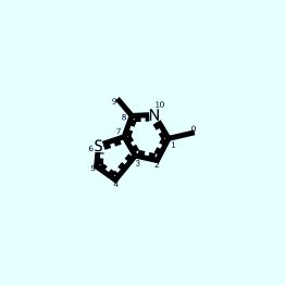 Cc1cc2ccsc2c(C)n1